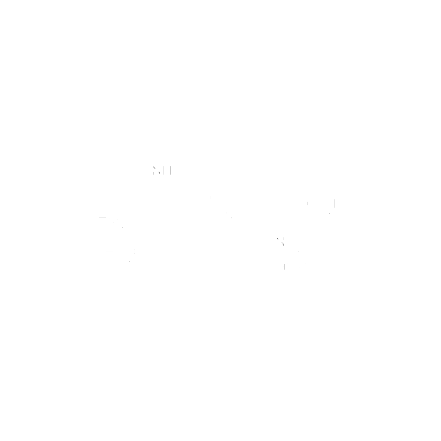 CCCCCCCCCCCCCCCC(=O)O.NC(CSSCC(N)C(=O)O)C(=O)O